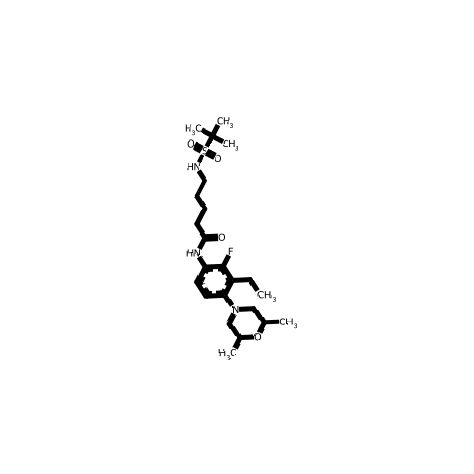 CCc1c(N2CC(C)OC(C)C2)ccc(NC(=O)CCCCNS(=O)(=O)C(C)(C)C)c1F